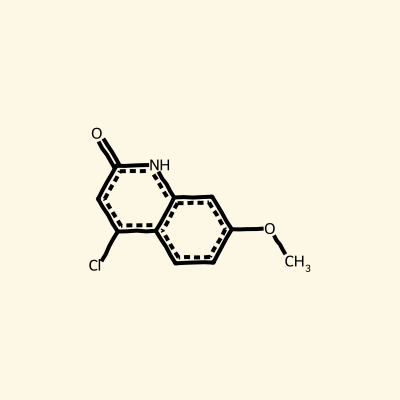 COc1ccc2c(Cl)cc(=O)[nH]c2c1